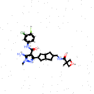 Cn1nc(C2CC3CC(CNC(=O)C4(C)COC4)CC3C2)c(C(=O)Nc2ccc(F)c(Cl)c2)c1N